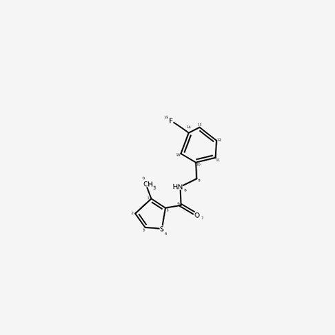 Cc1ccsc1C(=O)NCc1cccc(F)c1